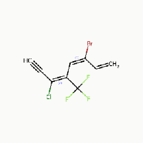 C#C/C(Cl)=C(\C=C(\Br)C=C)C(F)(F)F